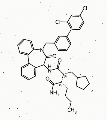 CCCC[C@H](C(N)=O)[C@@H](CC1CCCC1)C(=O)NC1C(=O)N(Cc2cccc(-c3ccc(Cl)cc3Cl)c2)c2ccccc2-c2ccccc21